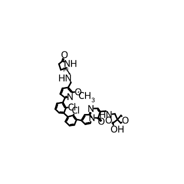 COc1nc(-c2cccc(-c3cccc(-c4ccn5c(=O)c(CNCC6(C(=O)O)COC6)cnc5c4)c3Cl)c2Cl)ccc1CNC[C@H]1CCC(=O)N1